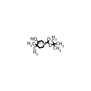 CC(C)(C)OC(=O)N1CCC(C)(C)[C@@H](O)C1